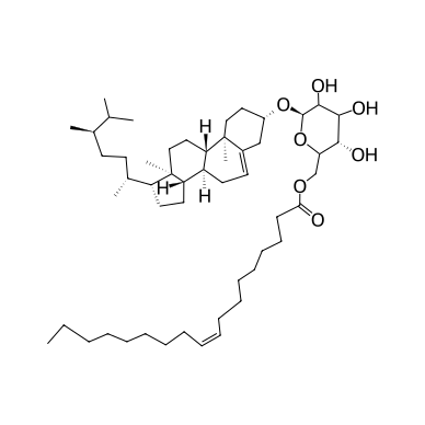 CCCCCCCC/C=C\CCCCCCCC(=O)OCC1O[C@@H](O[C@H]2CC[C@@]3(C)C(=CC[C@H]4[C@@H]5CC[C@H]([C@H](C)CC[C@@H](C)C(C)C)[C@@]5(C)CC[C@@H]43)C2)C(O)C(O)[C@@H]1O